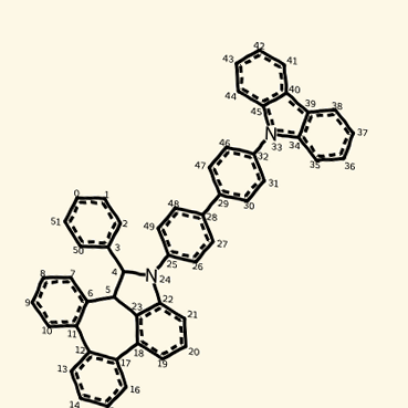 c1ccc(C2C3c4ccccc4-c4ccccc4-c4cccc(c43)N2c2ccc(-c3ccc(-n4c5ccccc5c5ccccc54)cc3)cc2)cc1